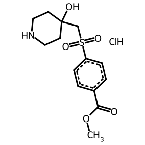 COC(=O)c1ccc(S(=O)(=O)CC2(O)CCNCC2)cc1.Cl